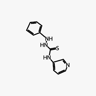 S=C(NNc1ccccc1)Nc1cccnc1